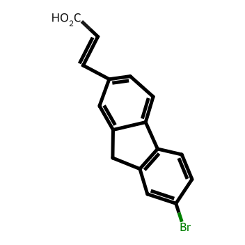 O=C(O)C=Cc1ccc2c(c1)Cc1cc(Br)ccc1-2